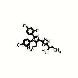 CCc1c(-c2nnc(C(C)CC)o2)nc(-c2ccc(Cl)cc2Cl)n1-c1ccc(Cl)cc1